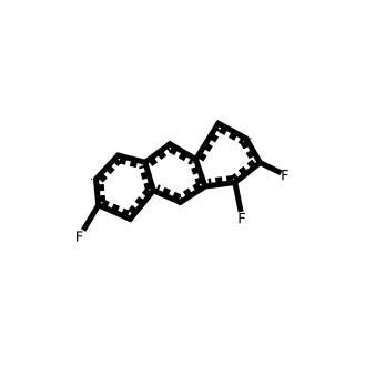 Fc1[c]cc2cc3c[c]c(F)c(F)c3cc2c1